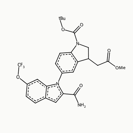 COC(=O)CC1CN(C(=O)OC(C)(C)C)c2ccc(-n3c(C(N)=O)cc4ccc(OC(F)(F)F)cc43)cc21